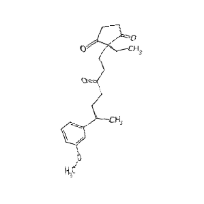 CCC1(CCC(=O)CCC(C)c2cccc(OC)c2)C(=O)CCC1=O